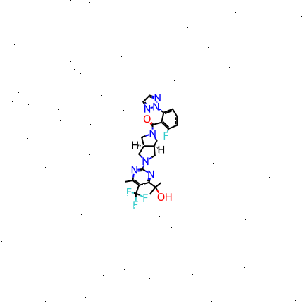 Cc1nc(N2C[C@H]3CN(C(=O)c4c(F)cccc4-n4nccn4)C[C@H]3C2)nc(C(C)(C)O)c1C(F)(F)F